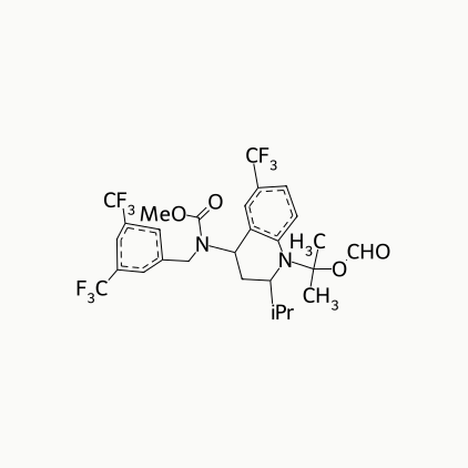 COC(=O)N(Cc1cc(C(F)(F)F)cc(C(F)(F)F)c1)C1CC(C(C)C)N(C(C)(C)OC=O)c2ccc(C(F)(F)F)cc21